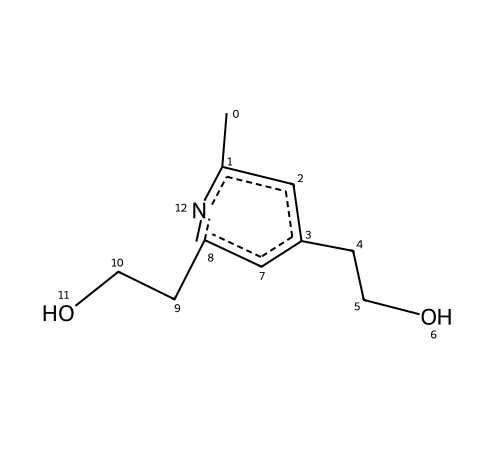 Cc1cc(CCO)cc(CCO)n1